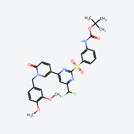 COc1ccc(Cn2cc(-c3cc(C(F)F)nc(S(=O)(=O)c4cccc(NC(=O)OC(C)(C)C)c4)n3)ccc2=O)cc1OC